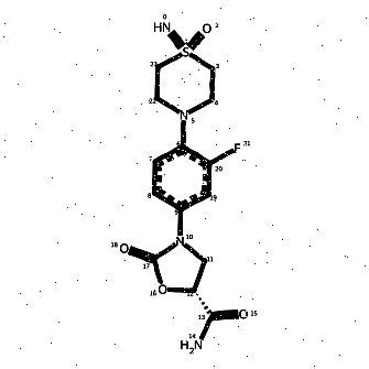 N=S1(=O)CCN(c2ccc(N3C[C@H](C(N)=O)OC3=O)cc2F)CC1